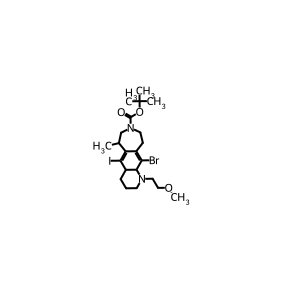 COCCN1CCCC2C(I)=C3C(=C(Br)C21)CCN(C(=O)OC(C)(C)C)CC3C